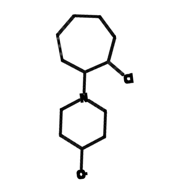 [O]C1CCN(C2CCCCCC2Cl)CC1